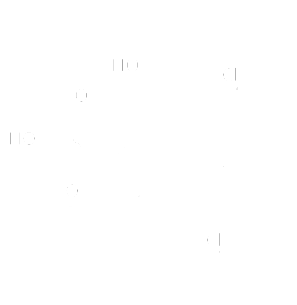 CCc1c(Cl)cc(S(=O)(=O)O)c(O)c1Cl